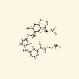 NCCNC(=O)c1cccc(Nc2ncc(CNc3cc(C(=O)NC4CC4)c(F)cc3F)s2)n1